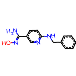 N/C(=N\O)c1ccc(NCc2ccccc2)nc1